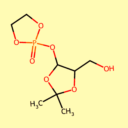 CC1(C)OC(CO)C(OP2(=O)OCCO2)O1